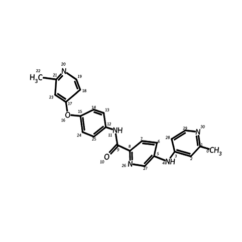 Cc1cc(Nc2ccc(C(=O)Nc3ccc(Oc4ccnc(C)c4)cc3)nc2)ccn1